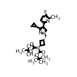 Cc1nc(-c2cn(C[C@H]3C[C@H](N(C(=O)OC(C)(C)C)C(=O)OC(C)(C)C)C3)nc2C2CC2)ccc1F